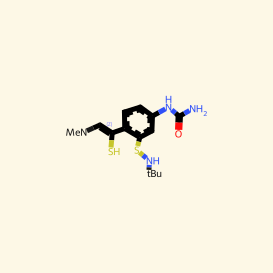 CN/C=C(\S)c1ccc(NC(N)=O)cc1SNC(C)(C)C